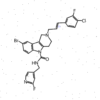 O=C(NCc1ccnc(F)c1)n1c2c(c3cc(Br)ccc31)CN(C/C=C/c1ccc(Cl)c(F)c1)CC2